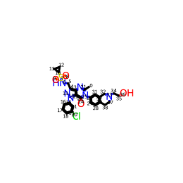 Cc1nc2c(CNS(=O)(=O)C3CC3)nn(-c3cccc(Cl)c3)c2c(=O)n1-c1ccc2c(c1)CN(CCO)CC2